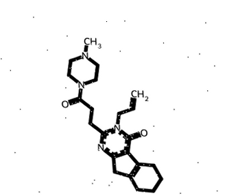 C=CCn1c(CCC(=O)N2CCN(C)CC2)nc2c(c1=O)C1=C(CCCC1)C2